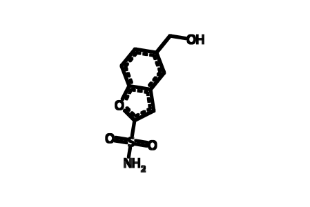 NS(=O)(=O)c1cc2cc(CO)ccc2o1